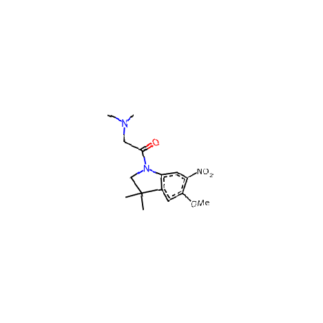 COc1cc2c(cc1[N+](=O)[O-])N(C(=O)CN(C)C)CC2(C)C